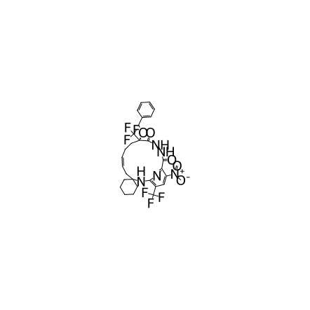 O=C1NNC(=O)[C@@](OCc2ccccc2)(C(F)(F)F)CCC=CCC2(CCCCC2)Nc2nc1c([N+](=O)[O-])cc2C(F)(F)F